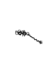 CCCCCCCCOc1ccc(-c2ncc(OCCCCCCCCCCC[Si](C)(C)C)cn2)cc1